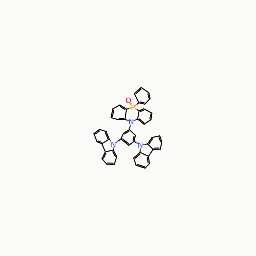 O=P1(c2ccccc2)c2ccccc2N(c2cc(-n3c4ccccc4c4ccccc43)cc(-n3c4ccccc4c4ccccc43)c2)c2ccccc21